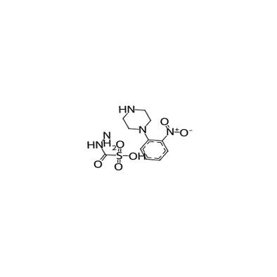 NNC(=O)S(=O)(=O)O.O=[N+]([O-])c1ccccc1N1CCNCC1